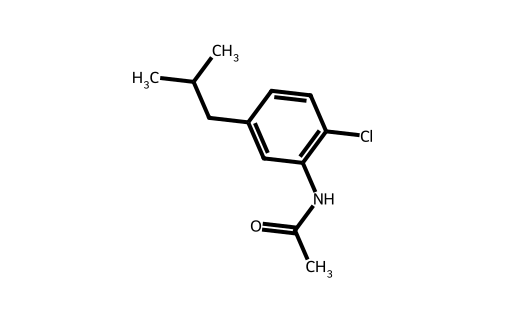 CC(=O)Nc1cc(CC(C)C)ccc1Cl